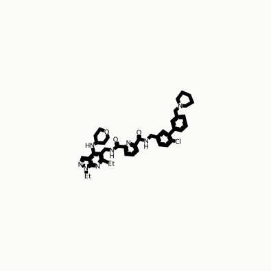 CCc1nc2c(cnn2CC)c(NC2CCOCC2)c1CNC(=O)c1cccc(C(=O)NCc2ccc(Cl)c(-c3cccc(CN4CCCCC4)c3)c2)n1